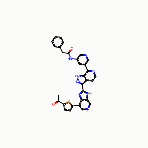 CC(=O)c1ccc(-c2cncc3[nH]c(-c4n[nH]c5c(-c6cncc(NC(=O)Cc7ccccc7)c6)nccc45)nc23)s1